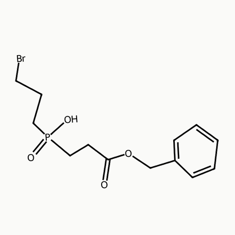 O=C(CCP(=O)(O)CCCBr)OCc1ccccc1